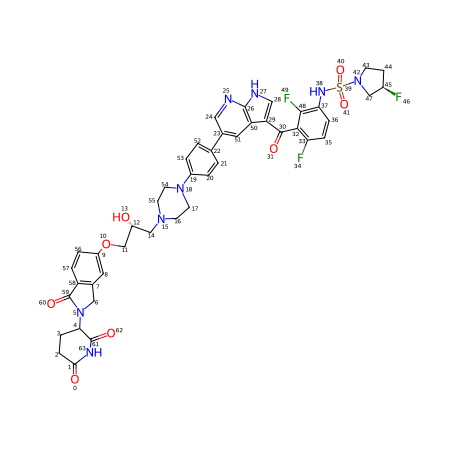 O=C1CCC(N2Cc3cc(OC[C@H](O)CN4CCN(c5ccc(-c6cnc7[nH]cc(C(=O)c8c(F)ccc(NS(=O)(=O)N9CC[C@@H](F)C9)c8F)c7c6)cc5)CC4)ccc3C2=O)C(=O)N1